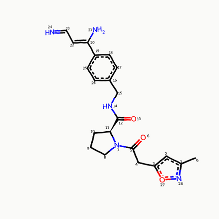 Cc1cc(CC(=O)N2CCC[C@H]2C(=O)NCc2ccc(/C(N)=C/C=N)cc2)on1